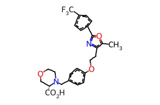 Cc1oc(-c2ccc(C(F)(F)F)cc2)nc1CCOc1ccc(CN2CCOC[C@H]2C(=O)O)cc1